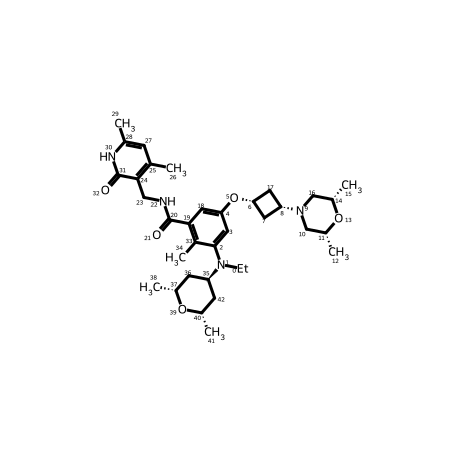 CCN(c1cc(O[C@H]2C[C@@H](N3C[C@@H](C)O[C@@H](C)C3)C2)cc(C(=O)NCc2c(C)cc(C)[nH]c2=O)c1C)[C@@H]1C[C@@H](C)O[C@@H](C)C1